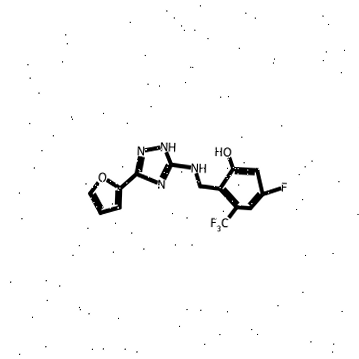 Oc1cc(F)cc(C(F)(F)F)c1CNc1nc(-c2ccco2)n[nH]1